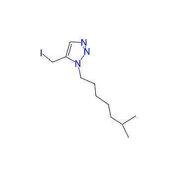 CC(C)CCCCCn1nncc1CI